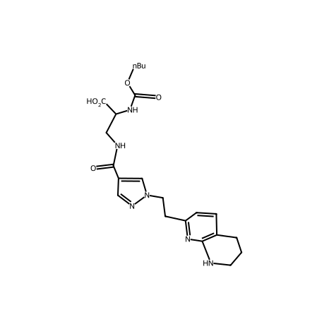 CCCCOC(=O)NC(CNC(=O)c1cnn(CCc2ccc3c(n2)NCCC3)c1)C(=O)O